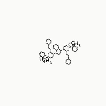 Cc1ccccc1C1(C)C=CC(c2ccc(C3=C(C=Cc4ccccc4)CC(C)(c4ccccc4C)C=C3)c3ccccc23)=C(C=Cc2ccccc2)C1